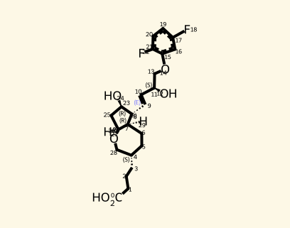 O=C(O)CCC[C@H]1CC[C@@H]2[C@@H](/C=C/[C@H](O)COc3cc(F)ccc3F)[C@H](O)C[C@@H]2OC1